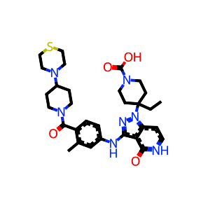 CCC1(n2nc(Nc3ccc(C(=O)N4CCC(N5CCSCC5)CC4)c(C)c3)c3c(=O)[nH]ccc32)CCN(C(=O)O)CC1